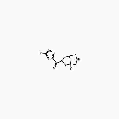 O=C(c1cc(Br)no1)N1CC2CNC[C@@H]2C1